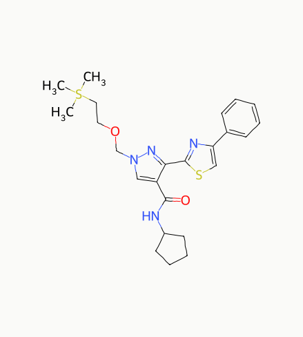 CS(C)(C)CCOCn1cc(C(=O)NC2CCCC2)c(-c2nc(-c3ccccc3)cs2)n1